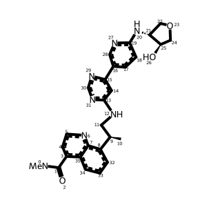 CNC(=O)c1ccnc2c([C@H](C)CNc3cc(-c4ccc(N[C@@H]5COC[C@H]5O)nc4)ncn3)cccc12